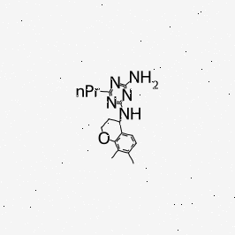 CCCc1nc(N)nc(N[C@@H]2CCOc3c2ccc(C)c3C)n1